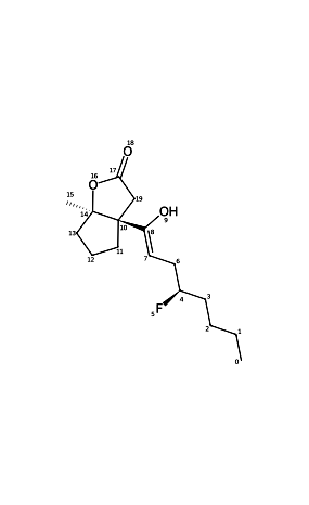 CCCC[C@@H](F)CC=C(O)[C@@]12CCC[C@@]1(C)OC(=O)C2